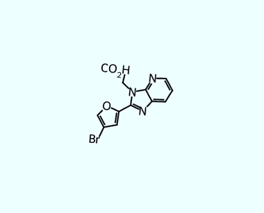 O=C(O)Cn1c(-c2cc(Br)co2)nc2cccnc21